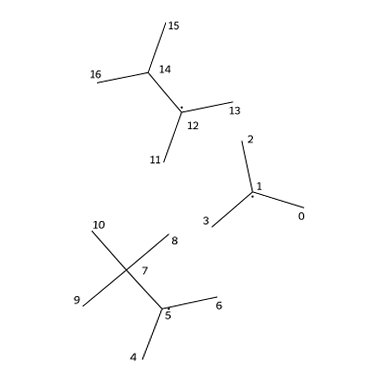 C[C](C)C.C[C](C)C(C)(C)C.C[C](C)C(C)C